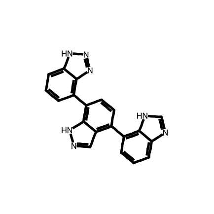 c1cc(-c2ccc(-c3cccc4[nH]nnc34)c3[nH]ncc23)c2[nH]cnc2c1